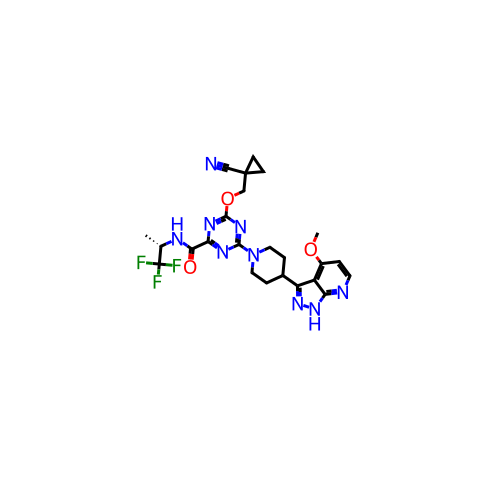 COc1ccnc2[nH]nc(C3CCN(c4nc(OCC5(C#N)CC5)nc(C(=O)N[C@@H](C)C(F)(F)F)n4)CC3)c12